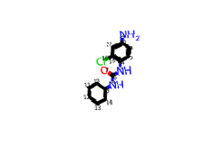 Nc1ccc(NC(=O)NC2CCCCC2)c(Cl)c1